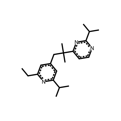 CCc1cc(CC(C)(C)c2ccnc(C(C)C)n2)cc(C(C)C)n1